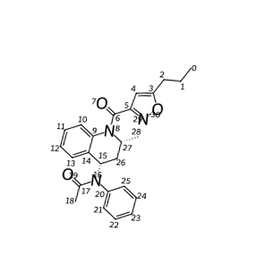 CCCc1cc(C(=O)N2c3ccccc3[C@@H](N(C(C)=O)c3ccccc3)C[C@H]2C)no1